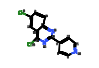 Clc1ccc2nc(-c3ccncc3)nc(Cl)c2c1